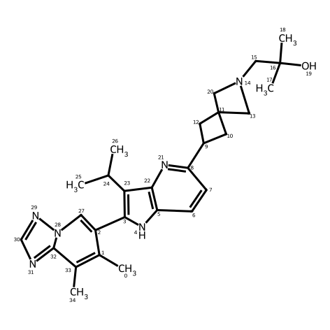 Cc1c(-c2[nH]c3ccc(C4CC5(C4)CN(CC(C)(C)O)C5)nc3c2C(C)C)cn2ncnc2c1C